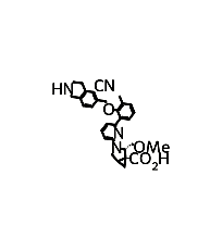 COC[C@H]1N(c2cccc(-c3cccc(C)c3OCc3ccc4c(c3C#N)CCNC4)n2)CC2C[C@@]21C(=O)O